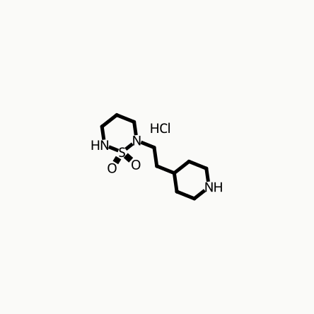 Cl.O=S1(=O)NCCCN1CCC1CCNCC1